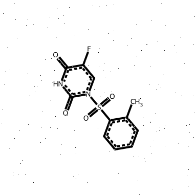 Cc1ccccc1S(=O)(=O)n1cc(F)c(=O)[nH]c1=O